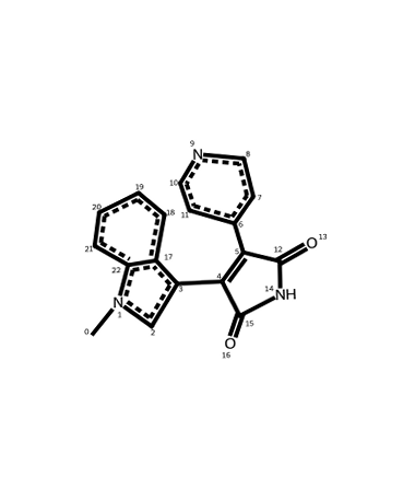 Cn1cc(C2=C(c3ccncc3)C(=O)NC2=O)c2ccccc21